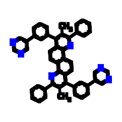 Cc1c(-c2ccccc2)nc2c(ccc3c2ccc2c(-c4cccc(-c5cncnc5)c4)c(C)c(-c4ccccc4)nc23)c1-c1cccc(-c2cncnc2)c1